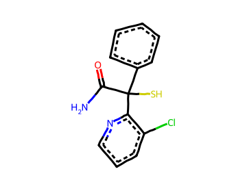 NC(=O)C(S)(c1ccccc1)c1ncccc1Cl